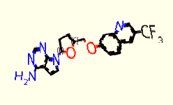 Nc1ncnc2c1ccn2[C@H]1CC[C@@H](COc2ccc3cc(C(F)(F)F)cnc3c2)O1